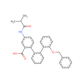 CC(C)C(=O)Nc1ccc(-c2ccccc2-c2ccccc2OCc2ccccc2)c(C(=O)O)c1